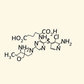 C[C@@H]1OCC2(CCN(c3cnc(Sc4ccnc(N)c4Cl)c(N)n3)CC2)[C@@H]1N.O=C(O)CCCCC(=O)O